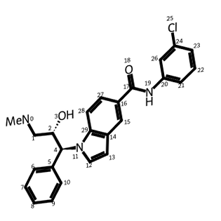 CNC[C@H](O)[C@H](c1ccccc1)n1ccc2cc(C(=O)Nc3cccc(Cl)c3)ccc21